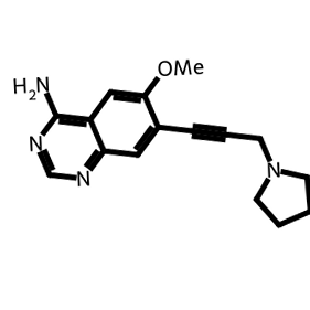 COc1cc2c(N)ncnc2cc1C#CCN1CCCC1